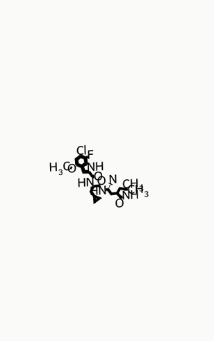 COc1cc(Cl)c(F)c2[nH]c(C(=O)NC(CC3CC3)C(=O)N[C@H](C#N)CC3CC(C)(C)NC3=O)cc12